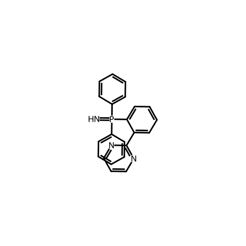 N=P(c1ccccc1)(c1ccccc1)c1ccccc1-c1ncccn1